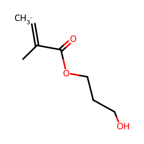 C=C(C)C(=O)OCCCO.[CH3]